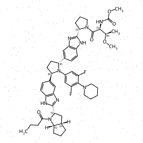 CCCC(=O)N1[C@H](c2nc3cc([C@H]4CC[C@H](c5ccc6[nH]c([C@@H]7CCCN7C(=O)[C@@H](NC(=O)OC)[C@@H](C)OC)nc6c5)N4c4cc(F)c(N5CCCCC5)c(F)c4)ccc3[nH]2)C[C@@H]2CCC[C@@H]21